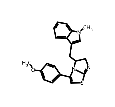 COc1ccc(C2=CSC3=NCC(Cc4cn(C)c5ccccc45)N23)cc1